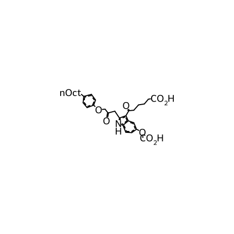 CCCCCCCCc1ccc(OCC(=O)Cc2[nH]c3ccc(OC(=O)O)cc3c2C(=O)CCCCC(=O)O)cc1